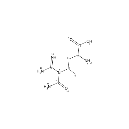 CC(CC(N)C(=O)O)N(C(=N)N)C(N)=O